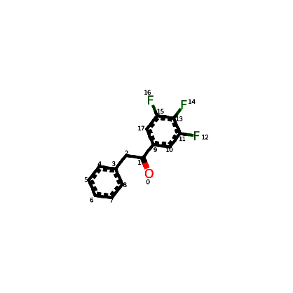 O=C(Cc1ccccc1)c1cc(F)c(F)c(F)c1